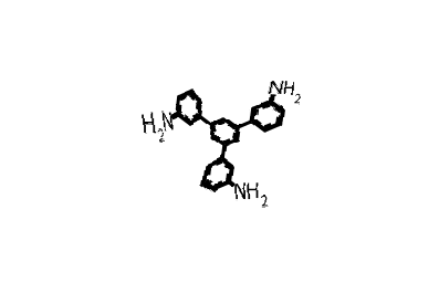 Nc1cccc(-c2cc(-c3cccc(N)c3)cc(-c3cccc(N)c3)c2)c1